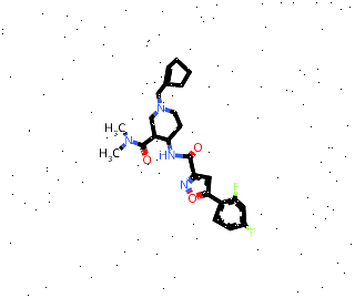 CN(C)C(=O)C1CN(CC2=CCCC2)CCC1NC(=O)c1cc(-c2ccc(F)cc2F)on1